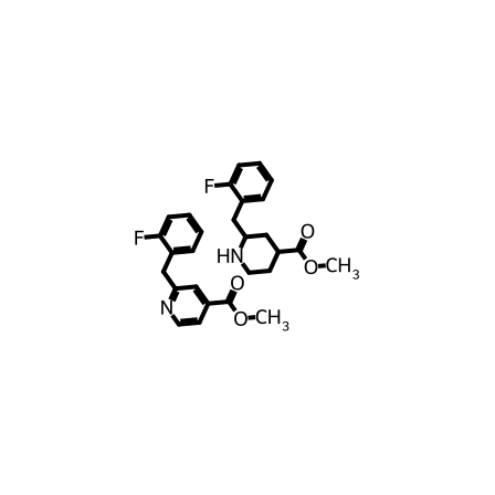 COC(=O)C1CCNC(Cc2ccccc2F)C1.COC(=O)c1ccnc(Cc2ccccc2F)c1